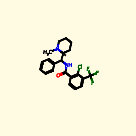 CN1CCCC[C@H]1C(NC(=O)c1cccc(C(F)(F)F)c1Cl)c1ccccc1